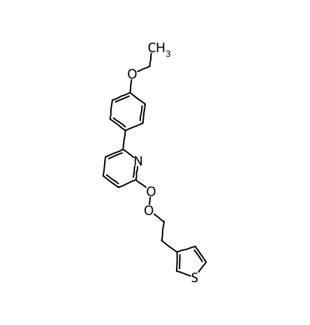 CCOc1ccc(-c2cccc(OOCCc3ccsc3)n2)cc1